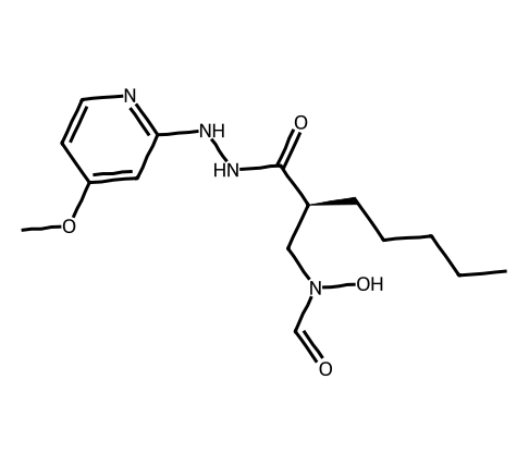 CCCCC[C@@H](CN(O)C=O)C(=O)NNc1cc(OC)ccn1